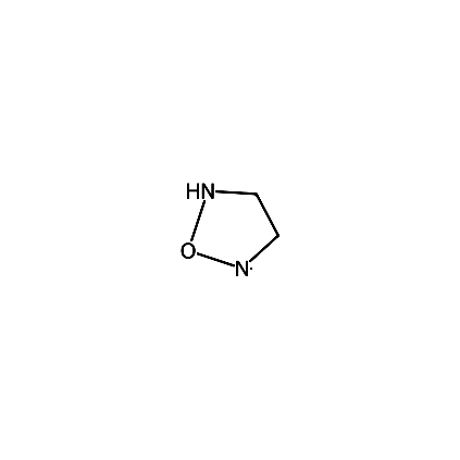 C1CNO[N]1